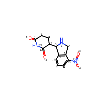 O=C1CCC(C2NCc3c2cccc3[N+](=O)[O-])C(=O)N1